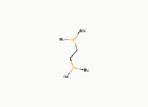 CCC(C)P(CCP(C(C)CC)C(C)CC)C(C)CC